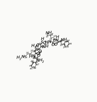 C[C@H](S)[C@H](NC(=O)CNC(=O)[C@H](CCCCN)NC(=O)[C@@H](N)Cc1ccccc1)C(=O)N[C@@H](CCCCN)C(=O)N[C@@H](Cc1ccccc1)C(N)=O